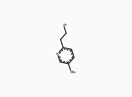 CC(C)CCc1ccc(C(C)(C)C)cn1